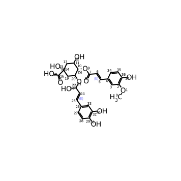 COc1cc(/C=C/C(=O)O[C@H]2C(O)C[C@](O)(C(=O)O)CC2OC(O)/C=C/c2ccc(O)c(O)c2)ccc1O